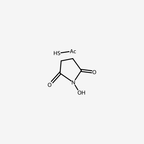 CC(=O)S.O=C1CCC(=O)N1O